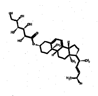 CC(C)[C@@H](C)/C=C/[C@@H](C)[C@H]1CC[C@H]2C3=CC=C4C[C@@H](OC(=O)[C@H](O)[C@@H](O)[C@H](O)[C@H](O)CO)CC[C@]4(C)[C@H]3CC[C@]12C